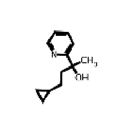 CC(O)(CCC1CC1)c1ccccn1